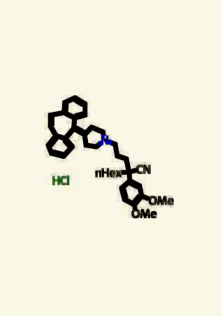 CCCCCCC(C#N)(CCCN1CCC(=C2c3ccccc3C=Cc3ccccc32)CC1)c1ccc(OC)c(OC)c1.Cl